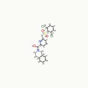 O=C(c1cccc(CS(=O)(=O)c2c(Cl)cccc2Cl)n1)N1CCc2ccccc2C1